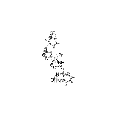 CC(C)[C@H](NC(=O)Cc1nc(=O)[nH]c2ccccc12)C(=O)c1noc(Cc2cccc(C(F)(F)F)c2)n1